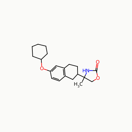 CC1(C2CCc3cc(OC4CCCCC4)ccc3C2)COC(=O)N1